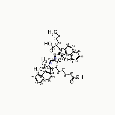 CCCCC(C(=O)O)[N+]1=C(/C=C/C=C2\N(CCCCCC(=O)O)c3ccc4ccccc4c3C2(C)C)C(C)(C)c2c1ccc1ccccc21